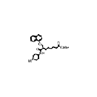 CCN1CCC(NC(=O)/C(=C/CCCCC(=O)OC)COc2cccc3ccccc23)CC1